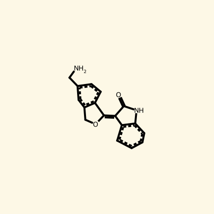 NCc1ccc2c(c1)COC2=C1C(=O)Nc2ccccc21